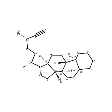 C#C[C@H](CC[C@@H](C)[C@H]1CC[C@H]2[C@@H]3CCC4CCCC[C@]4(C)[C@H]3CC[C@]12C)C(C)C